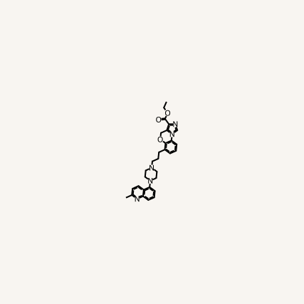 CCOC(=O)c1ncn2c1COc1c(CCCN3CCN(c4cccc5nc(C)ccc45)CC3)cccc1-2